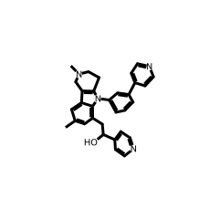 Cc1cc(CC(O)c2ccncc2)c2c(c1)c1c(n2-c2cccc(-c3ccncc3)c2)CCN(C)C1